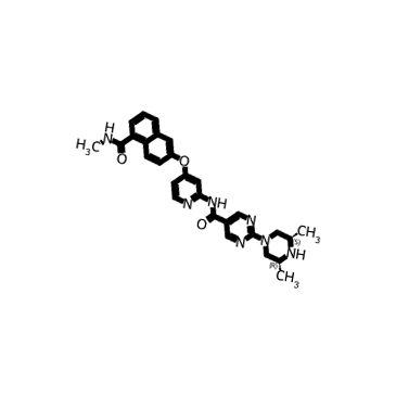 CNC(=O)c1cccc2cc(Oc3ccnc(NC(=O)c4cnc(N5C[C@@H](C)N[C@@H](C)C5)nc4)c3)ccc12